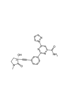 CN1CC[C@@](O)(C#Cc2cccc(-c3nc(C(N)=O)cc(-n4cccn4)n3)c2)C1=O